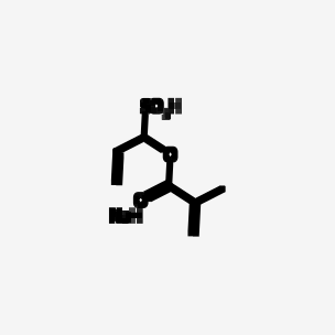 C=CC(OC(=O)C(=C)C)S(=O)(=O)O.[NaH]